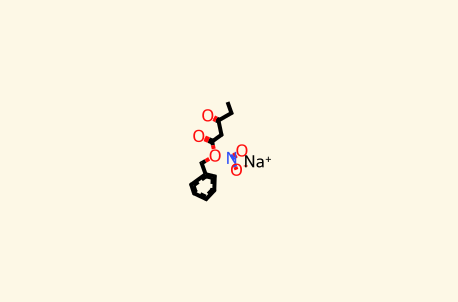 CCC(=O)CC(=O)OCc1ccccc1.O=N[O-].[Na+]